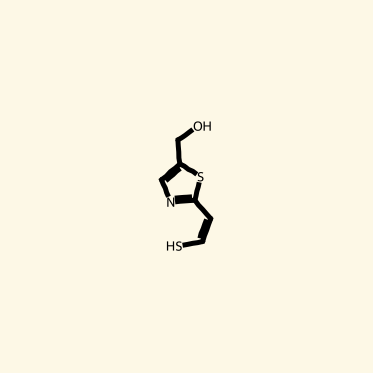 OCc1cnc(/C=C\S)s1